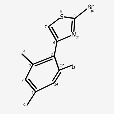 Cc1cc(C)c(-c2csc(Br)n2)c(C)c1